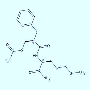 CSCSC[C@H](NC(=O)[C@@H](CSC(C)=O)Cc1ccccc1)C(N)=O